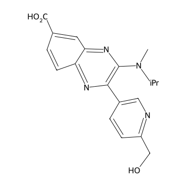 CC(C)N(C)c1nc2cc(C(=O)O)ccc2nc1-c1ccc(CO)nc1